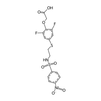 O=C(O)COc1c(F)cc(SCCNS(=O)(=O)c2ccc([N+](=O)[O-])cc2)cc1F